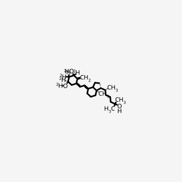 [2H]O[C@]1([2H])C/C(=C/C=C2CCC[C@@]3(C)C2CC[C@@H]3[C@H](C)CCCC(C)(C)O)C(=C)C([2H])(O)C1([2H])[2H]